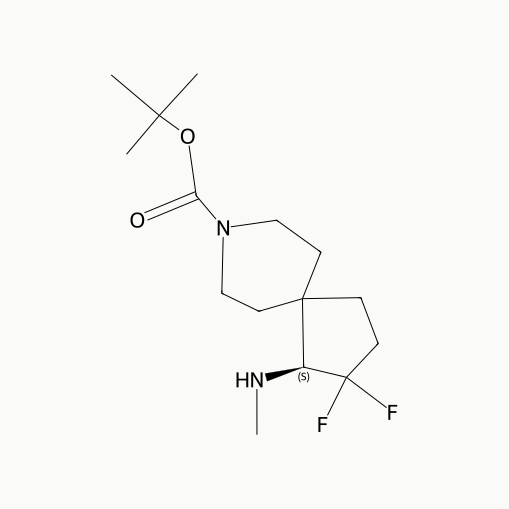 CN[C@@H]1C(F)(F)CCC12CCN(C(=O)OC(C)(C)C)CC2